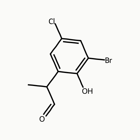 CC(C=O)c1cc(Cl)cc(Br)c1O